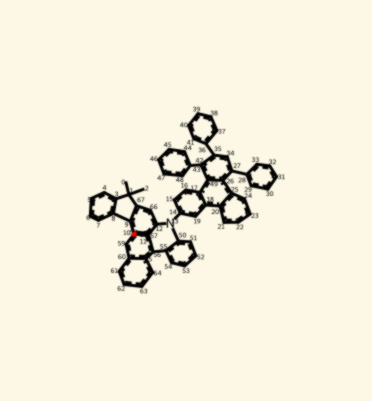 CC1(C)c2ccccc2-c2ccc(N(c3ccc4c(c3)c3ccccc3c3c(-c5ccccc5)cc(-c5ccccc5)c(-c5ccccc5)c43)c3ccccc3-c3cccc4ccccc34)cc21